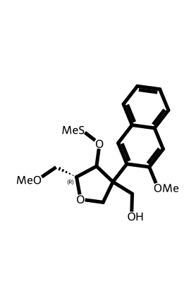 COC[C@H]1OCC(CO)(c2cc3ccccc3cc2OC)C1OSC